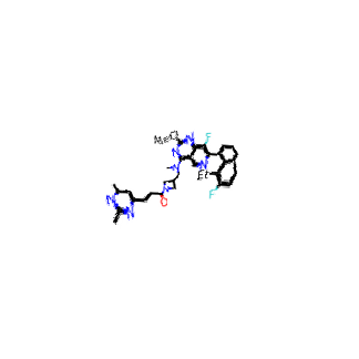 CCc1c(F)ccc2cccc(-c3ncc4c(N(C)CC5CN(C(=O)/C=C/c6cc(C)nc(C)n6)C5)nc(OC)nc4c3F)c12